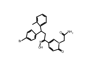 Cc1ccccc1C(CC(=NO)c1ccc(=O)n(CC(N)=O)c1)c1ccc(Br)cc1